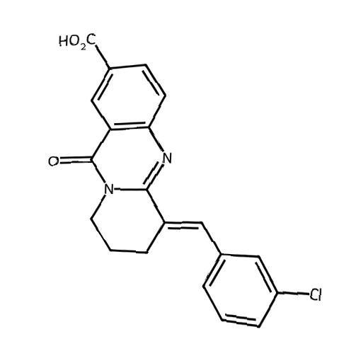 O=C(O)c1ccc2nc3n(c(=O)c2c1)CCC/C3=C\c1cccc(Cl)c1